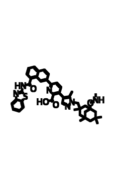 CNOC12CC(C)(C)CC(C)(CC(C)(Cn3ncc(-c4ccc(-c5ccc6cccc(C(=O)Nc7nc8ccccc8s7)c6c5)nc4C(=O)O)c3C)C1)C2